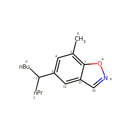 CCCCC(CCC)c1cc(C)c2oncc2c1